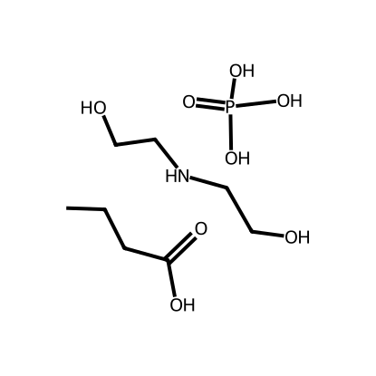 CCCC(=O)O.O=P(O)(O)O.OCCNCCO